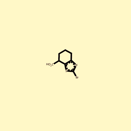 O=C(O)C1CCCc2nc(Br)sc21